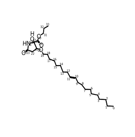 CCCCCCCCCCC=CCCCCCCCCOC1CC(=O)N[C@]1(O)C(=O)OCCC